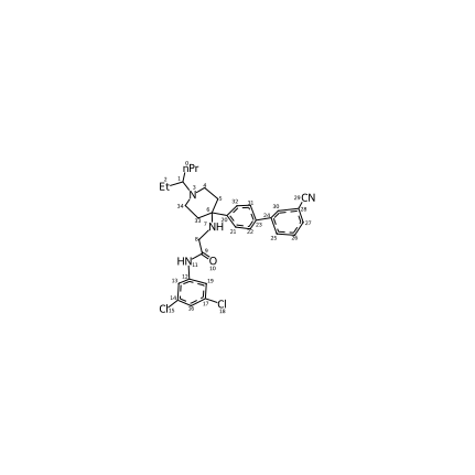 CCCC(CC)N1CCC(NCC(=O)Nc2cc(Cl)cc(Cl)c2)(c2ccc(-c3cccc(C#N)c3)cc2)CC1